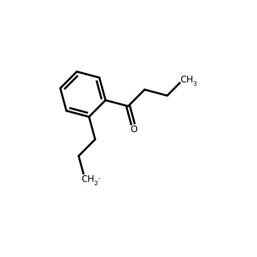 [CH2]CCc1ccccc1C(=O)CCC